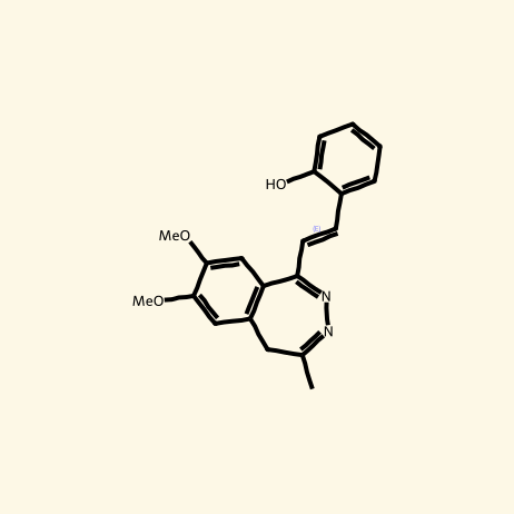 COc1cc2c(cc1OC)C(/C=C/c1ccccc1O)=NN=C(C)C2